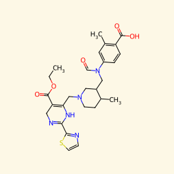 CCOC(=O)C1=C(CN2CCC(C)C(CN(C=O)c3ccc(C(=O)O)c(C)c3)C2)NC(c2nccs2)=NC1